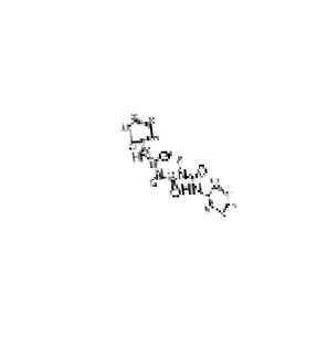 CN(C(=O)Nc1ccccc1)C(=O)N(C)C(=O)Nc1ccccc1